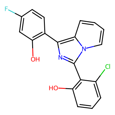 Oc1cc(F)ccc1-c1nc(-c2c(O)cccc2Cl)n2ccccc12